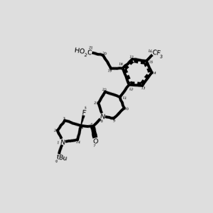 CC(C)(C)N1CC[C@](F)(C(=O)N2CCC(c3ccc(C(F)(F)F)cc3CCC(=O)O)CC2)C1